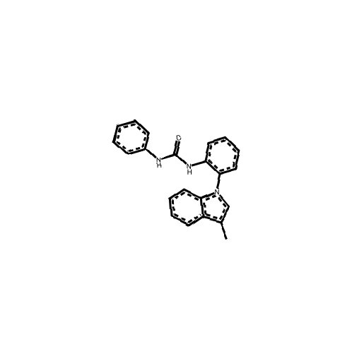 Cc1cn(-c2ccccc2NC(=O)Nc2ccccc2)c2ccccc12